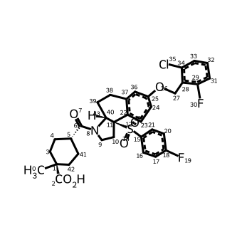 C[C@]1(C(=O)O)CC[C@H](C(=O)N2CC[C@@]3(S(=O)(=O)c4ccc(F)cc4)c4ccc(OCc5c(F)cccc5Cl)cc4CC[C@@H]23)CC1